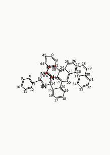 c1ccc(-c2nc(-c3ccccc3)nc(-c3ccccc3-c3cc4c(ccc5ccc6ccccc6c54)c4ccccc34)n2)cc1